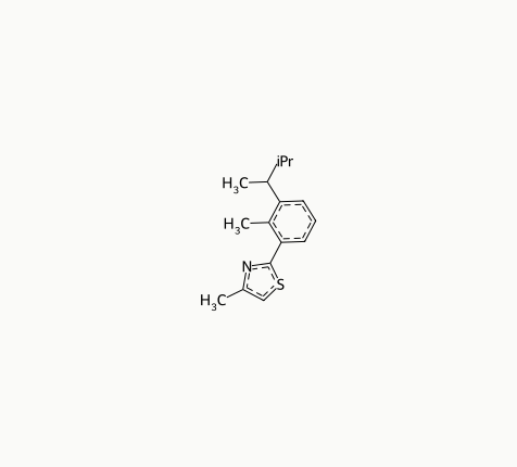 Cc1csc(-c2cccc(C(C)C(C)C)c2C)n1